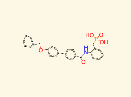 O=C(Nc1ccccc1CP(=O)(O)O)c1ccc(-c2ccc(OCc3ccccc3)cc2)cc1